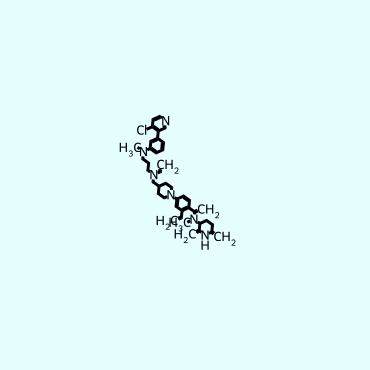 C=Cc1cc(N2CCC(CN(C=C)CCCN(C)c3cccc(-c4cnccc4Cl)c3)CC2)ccc1C(=C)N(C)C1CCC(=C)NC1=C